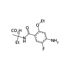 CCOc1cc(N)c(F)cc1C(=O)NC(C)(CC)C(=O)O